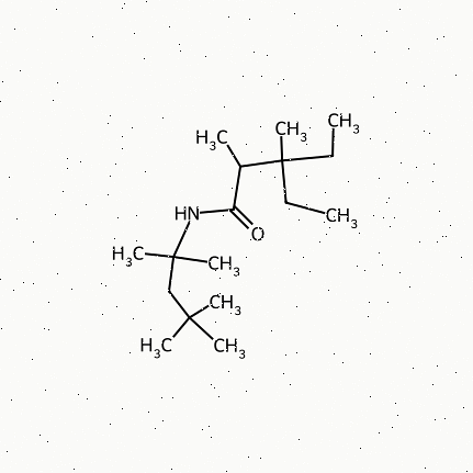 CCC(C)(CC)C(C)C(=O)NC(C)(C)CC(C)(C)C